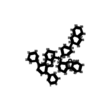 c1ccc(-c2ccc(-c3ccccc3)c3c2sc2c(N(c4ccc(-c5ccc6ccccc6c5)cc4)c4cccc5c4oc4ccccc45)cccc23)cc1